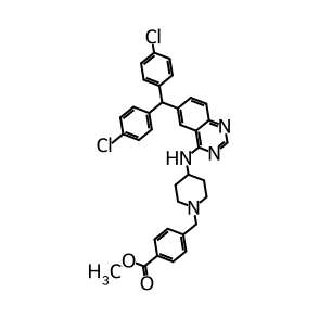 COC(=O)c1ccc(CN2CCC(Nc3ncnc4ccc(C(c5ccc(Cl)cc5)c5ccc(Cl)cc5)cc34)CC2)cc1